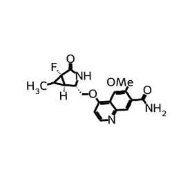 COc1cc2c(OC[C@H]3NC(=O)[C@]4(F)C(C)[C@H]34)ccnc2cc1C(N)=O